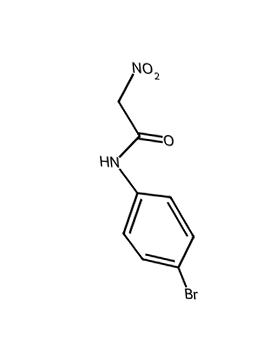 O=C(C[N+](=O)[O-])Nc1ccc(Br)cc1